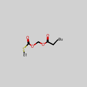 CCSC(=O)OCOC(=O)CC(C)CC